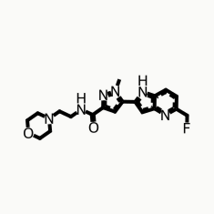 Cn1nc(C(=O)NCCN2CCOCC2)cc1-c1cc2nc(CF)ccc2[nH]1